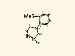 CSc1ccccc1N1CCN[C@H](C)C1